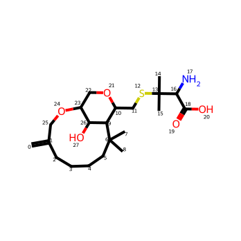 C=C1CCCCC(C)(C)C2C(CSC(C)(C)C(N)C(=O)O)OCC(OC1)C2O